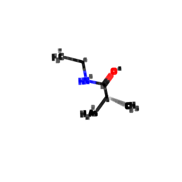 C[C@H]([AsH2])C(=O)NCC(F)(F)F